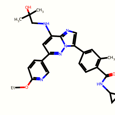 CCOc1ccc(-c2cc(NCC(C)(C)O)c3ncc(-c4ccc(C(=O)NC5CC5)c(C)c4)n3n2)cn1